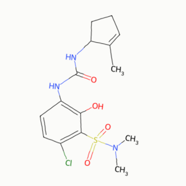 CC1=CCCC1NC(=O)Nc1ccc(Cl)c(S(=O)(=O)N(C)C)c1O